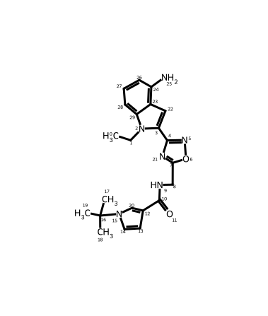 CCn1c(-c2noc(CNC(=O)c3ccn(C(C)(C)C)c3)n2)cc2c(N)cccc21